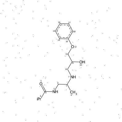 CC(CNC(=O)C(C)C)NCC(O)COc1ccccc1